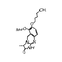 COc1c(OCCCCO)ccc2c1CN1C(=N2)NC(=O)C1C